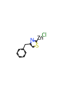 [Cl][Zn][c]1nc(Cc2ccccc2)cs1